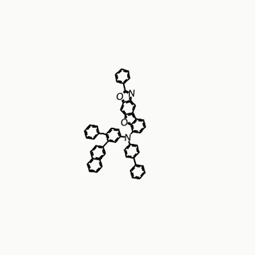 c1ccc(-c2ccc(N(c3ccc(-c4ccccc4)c(-c4ccc5ccccc5c4)c3)c3cccc4c3oc3cc5oc(-c6ccccc6)nc5cc34)cc2)cc1